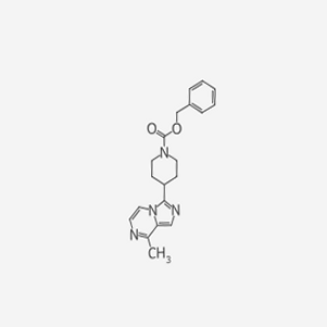 Cc1nccn2c(C3CCN(C(=O)OCc4ccccc4)CC3)ncc12